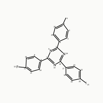 Cc1ccc(-c2nc(-c3ccc(F)cc3)nc(-c3ccc(I)cc3)n2)cc1